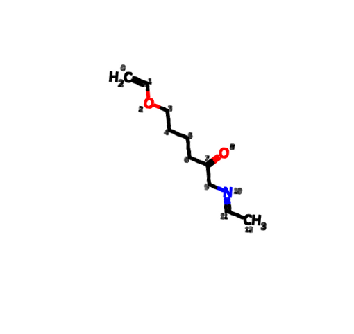 C=COCCCCC(=O)CN=CC